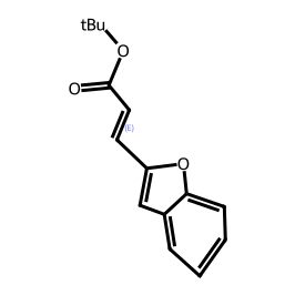 CC(C)(C)OC(=O)/C=C/c1cc2ccccc2o1